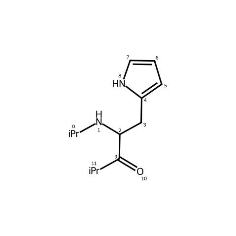 CC(C)NC(Cc1ccc[nH]1)C(=O)C(C)C